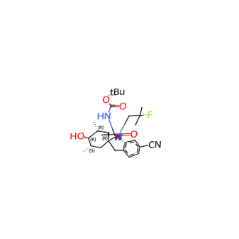 C[C@@H]1C[C@@]2(Cc3ccc(C#N)cc3[C@]23N=C(NC(=O)OC(C)(C)C)N(CC(C)(C)F)C3=O)C[C@H](C)[C@H]1O